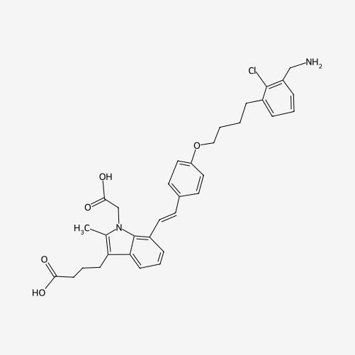 Cc1c(CCCC(=O)O)c2cccc(/C=C/c3ccc(OCCCCc4cccc(CN)c4Cl)cc3)c2n1CC(=O)O